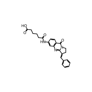 O=C(O)CCCCC(=O)Nc1ccc2c(=O)n3c(nc2c1)C(=Cc1ccccc1)CC3